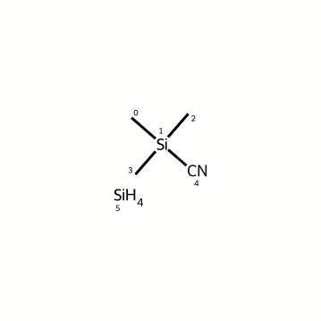 C[Si](C)(C)C#N.[SiH4]